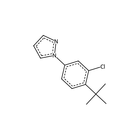 CC(C)(C)c1ccc(-n2cccn2)cc1Cl